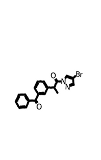 CC(C(=O)n1cc(Br)cn1)c1cccc(C(=O)c2ccccc2)c1